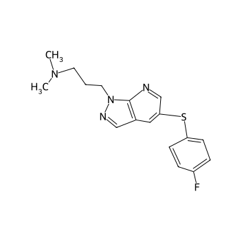 CN(C)CCCn1ncc2cc(Sc3ccc(F)cc3)cnc21